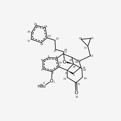 CCCCOc1cccc2c1[C@]13CCN(CC4CC4)C(C2)[C@]1(OCCCc1ccccc1)CCC(=O)C3